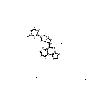 Cc1ccnc(N2CC3CN(C(=O)c4ccccc4-c4cccs4)C3C2)n1